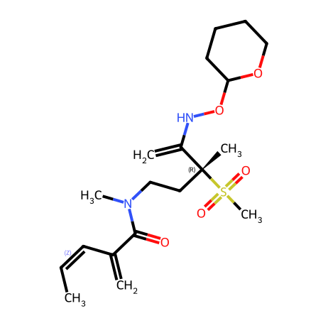 C=C(/C=C\C)C(=O)N(C)CC[C@](C)(C(=C)NOC1CCCCO1)S(C)(=O)=O